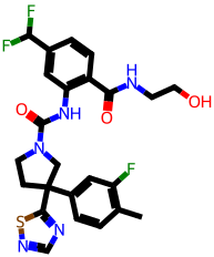 Cc1ccc(C2(c3ncns3)CCN(C(=O)Nc3cc(C(F)F)ccc3C(=O)NCCO)C2)cc1F